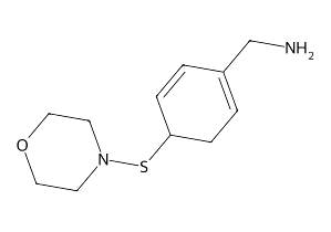 NCC1=CCC(SN2CCOCC2)C=C1